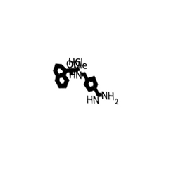 COC(C)(C(=O)NCc1ccc(C(=N)N)cc1)c1cccc2ccccc12.Cl